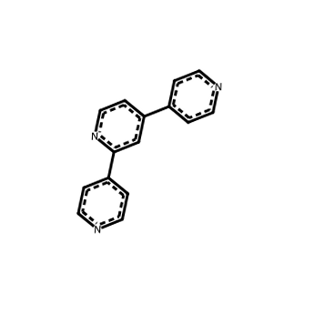 c1cc(-c2ccnc(-c3ccncc3)c2)ccn1